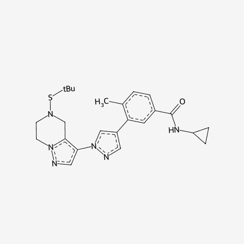 Cc1ccc(C(=O)NC2CC2)cc1-c1cnn(-c2cnn3c2CN(SC(C)(C)C)CC3)c1